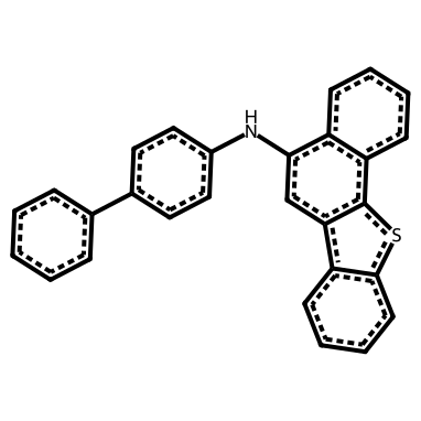 c1ccc(-c2ccc(Nc3cc4c5ccccc5sc4c4ccccc34)cc2)cc1